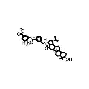 C=C(C)[C@@H]1CC[C@]2(C(=O)NCc3cccc(C(=O)Nc4cc(C(=O)OC)ccc4N)c3)CC[C@]3(C)C(CCC4[C@@]5(C)CC[C@H](O)C(C)(C)C5CC[C@]43C)C12